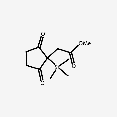 COC(=O)CC1([Si](C)(C)C)C(=O)CCC1=O